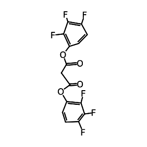 O=C(CC(=O)Oc1ccc(F)c(F)c1F)Oc1ccc(F)c(F)c1F